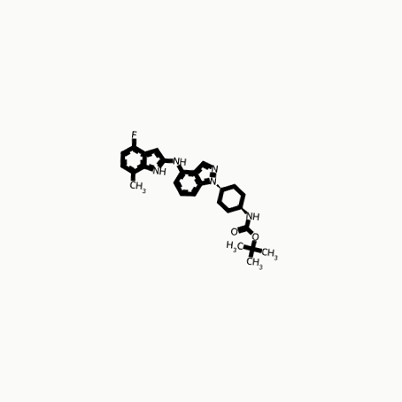 Cc1ccc(F)c2cc(Nc3cccc4c3cnn4[C@H]3CC[C@H](NC(=O)OC(C)(C)C)CC3)[nH]c12